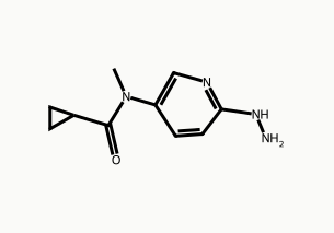 CN(C(=O)C1CC1)c1ccc(NN)nc1